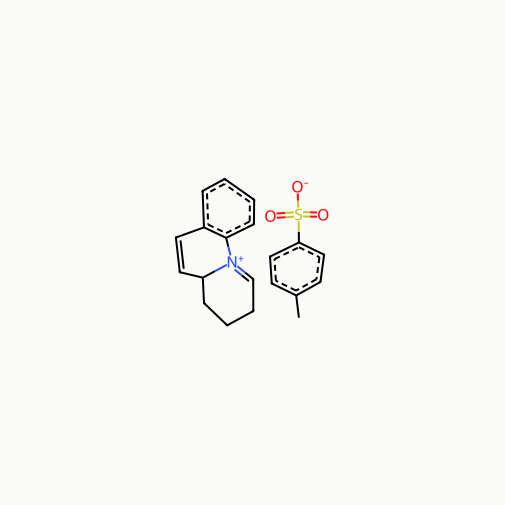 C1=CC2CCCC=[N+]2c2ccccc21.Cc1ccc(S(=O)(=O)[O-])cc1